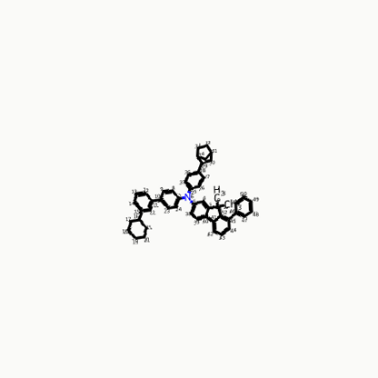 CC1(C)c2cc(N(c3ccc(-c4cccc(C5CCCCC5)c4)cc3)c3ccc(C4CC5CCC4C5)cc3)ccc2-c2cccc(-c3ccccc3)c21